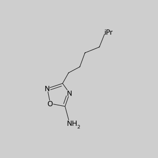 CC(C)CCCCc1noc(N)n1